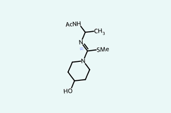 CS/C(=N\C(C)NC(C)=O)N1CCC(O)CC1